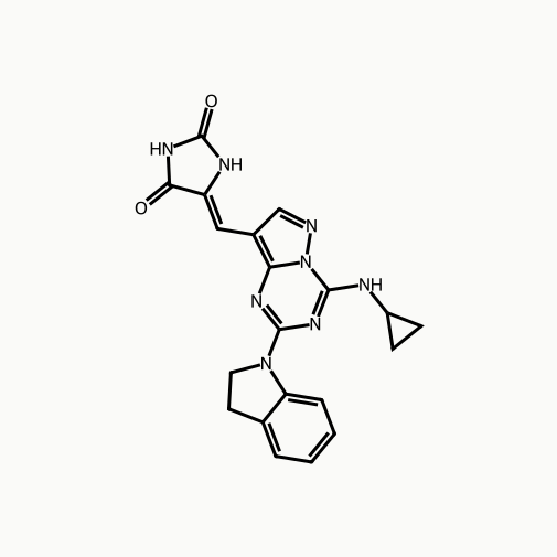 O=C1NC(=O)/C(=C/c2cnn3c(NC4CC4)nc(N4CCc5ccccc54)nc23)N1